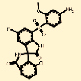 COc1cc(N)ccc1S(=O)(=O)c1cc(Cl)cc2c1NC(=O)C2(NC(C)=O)c1ccccc1Cl